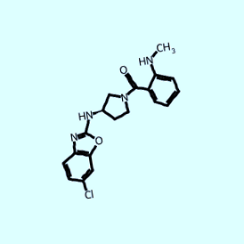 CNc1ccccc1C(=O)N1CC[C@@H](Nc2nc3ccc(Cl)cc3o2)C1